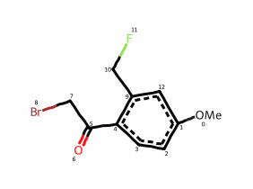 COc1ccc(C(=O)CBr)c(CF)c1